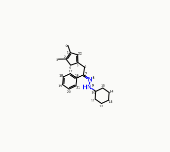 CC1=C(C)CC(CC(=NNC2CCCCC2)c2ccccc2)=C1